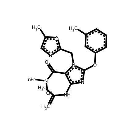 C=C(C)Nc1nc(Oc2cccc(C)c2)n(Cc2ncc(C)s2)c1C(=O)N(C)CCC